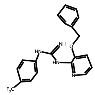 N=C(Nc1ccc(C(F)(F)F)cc1)Nc1ncccc1OCc1ccccc1